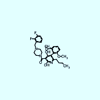 CCCCc1nc(O)c(C(=O)N2CCN(Cc3cccc(F)c3F)CC2)c(O)c1-c1c(OC)cccc1OC